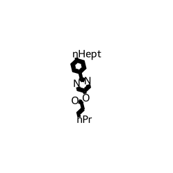 CCC/C=C/C(=O)Oc1cnc(-c2ccc(CCCCCCC)cc2)nc1